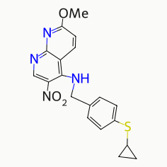 COc1ccc2c(NCc3ccc(SC4CC4)cc3)c([N+](=O)[O-])cnc2n1